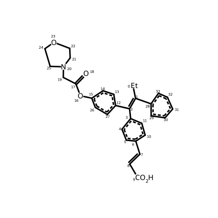 CC/C(=C(/c1ccc(/C=C/C(=O)O)cc1)c1ccc(OC(=O)CN2CCOCC2)cc1)c1ccccc1